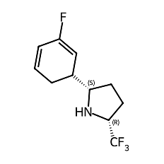 FC1=CC([C@@H]2CC[C@H](C(F)(F)F)N2)CC=C1